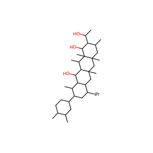 CC(C)C1CC(C2CCC(C)C(C)C2)C(C)C2C(O)C3C(C)C4(C)C(O)C(C(C)O)C(C)CC4(C)CC3(C)CC12